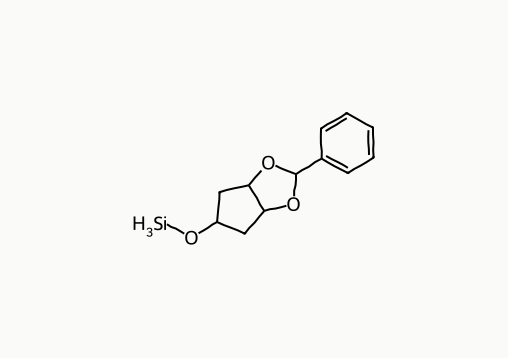 [SiH3]OC1CC2OC(c3ccccc3)OC2C1